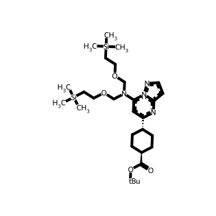 CC(C)(C)OC(=O)[C@H]1CC[C@H](c2cc(N(COCC[Si](C)(C)C)COCC[Si](C)(C)C)n3nccc3n2)CC1